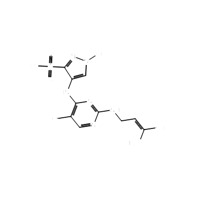 CC(C)=CCNc1ncc(Cl)c(Nc2cn(C)nc2S(=O)(=O)C(C)C)n1